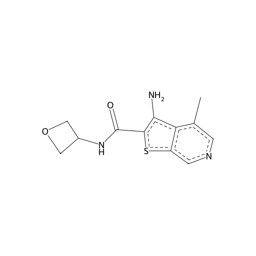 Cc1cncc2sc(C(=O)NC3COC3)c(N)c12